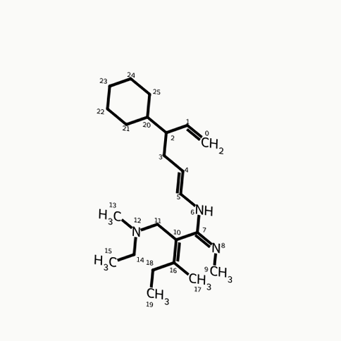 C=CC(C/C=C/NC(=N/C)/C(CN(C)CC)=C(\C)CC)C1CCCCC1